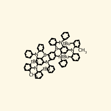 Cc1cccc(C(C)(C)C)c1N(c1cc2c3c(c1)N(c1ccccc1)c1cc4c(cc1B3c1ccccc1N2c1ccccc1)B1c2ccccc2N(c2ccccc2)c2cc(N(c3ccccc3C(C)(C)C)c3c(C)cccc3C(C)(C)C)cc(c21)N4c1ccccc1)c1ccccc1C(C)(C)C